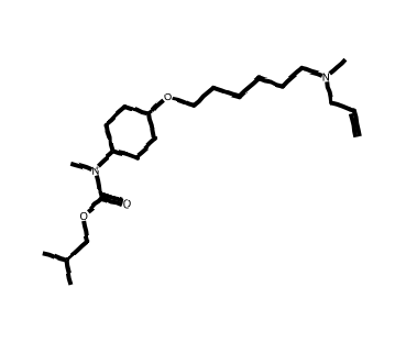 C=CCN(C)CCCCCCOC1CCC(N(C)C(=O)OCC(C)C)CC1